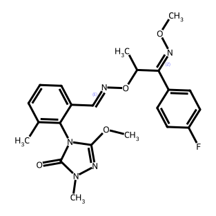 CO/N=C(/c1ccc(F)cc1)C(C)O/N=C/c1cccc(C)c1-n1c(OC)nn(C)c1=O